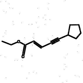 CCOC(=O)C=CC#CC1CCCC1